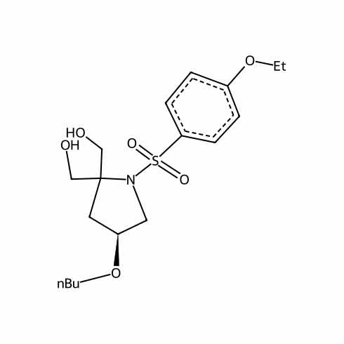 CCCCO[C@@H]1CN(S(=O)(=O)c2ccc(OCC)cc2)C(CO)(CO)C1